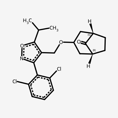 CC(C)c1onc(-c2c(Cl)cccc2Cl)c1COC1C[C@H]2CC[C@@H](C1)C2=O